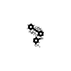 Cc1ccc(Oc2ccccc2C(C)(C)C(C)(C)c2ccccc2)c(C(C)C)c1